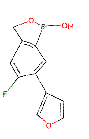 OB1OCc2cc(F)c(-c3ccoc3)cc21